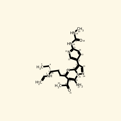 C=CN[C@H](CC)CCc1nc2c(-c3ccc(NC(=O)NC)nc3)cnn2c(N)c1C(C)=O